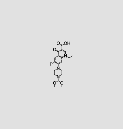 CCn1cc(C(=O)O)c(=O)c2cc(F)c(N3CCN(C(OC)OC)CC3)cc21